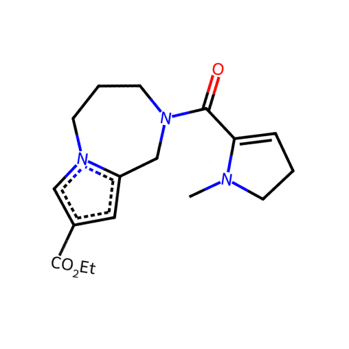 CCOC(=O)c1cc2n(c1)CCCN(C(=O)C1=CCCN1C)C2